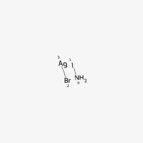 NI.[Br][Ag]